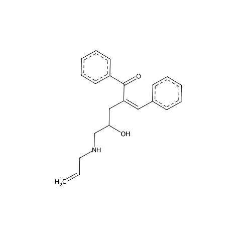 C=CCNCC(O)CC(=Cc1ccccc1)C(=O)c1ccccc1